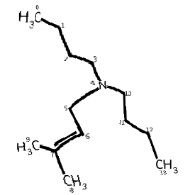 CCCCN(CC=C(C)C)CCCC